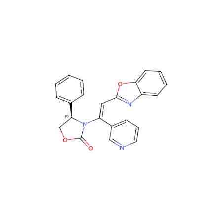 O=C1OC[C@@H](c2ccccc2)N1C(=[C]c1nc2ccccc2o1)c1cccnc1